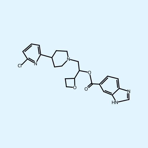 O=C(OC(CN1CCC(c2cccc(Cl)n2)CC1)C1CCO1)c1ccc2nc[nH]c2c1